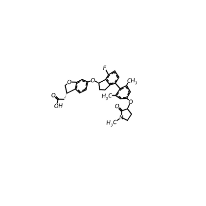 Cc1cc(OC2CCN(C)C2=O)cc(C)c1-c1ccc(F)c2c1CC[C@H]2Oc1ccc2c(c1)OC[C@H]2CC(=O)O